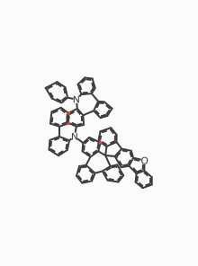 c1ccc(-c2ccccc2N(c2ccc3c(c2)-c2ccccc2-c2ccccc2N3c2ccccc2)c2ccc3c(c2)-c2ccccc2-c2ccccc2C32c3ccccc3-c3cc4oc5ccccc5c4cc32)cc1